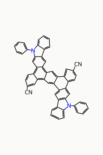 N#Cc1ccc2c(c1)c1cc3c(cc1c1cc4c5ccccc5n(-c5ccccc5)c4cc21)c1cc(C#N)ccc1c1cc2c(cc31)c1ccccc1n2-c1ccccc1